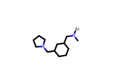 CC(=O)N(C)CC1CCCC(CN2CCCC2)C1